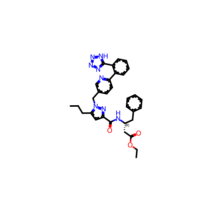 CCCc1cc(C(=O)N[C@@H](CC(=O)OCC)Cc2ccccc2)nn1Cc1ccc(-c2ccccc2-c2nnn[nH]2)nc1